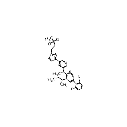 CC[C@H](C)c1cc(-c2c(F)cccc2F)nnc1C(C)c1cncc(-c2ccn(CCS(C)(=O)=O)n2)n1